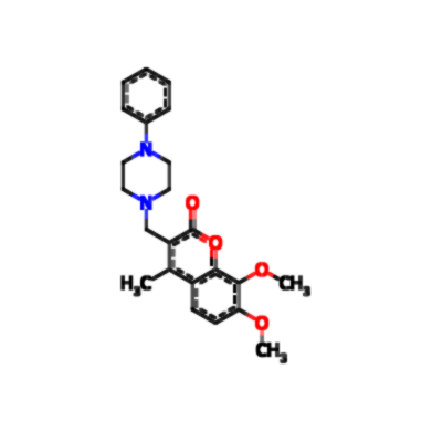 COc1ccc2c(C)c(CN3CCN(c4ccccc4)CC3)c(=O)oc2c1OC